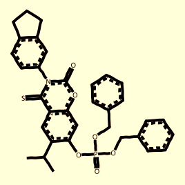 CC(C)c1cc2c(=S)n(-c3ccc4c(c3)CCC4)c(=O)oc2cc1OP(=O)(OCc1ccccc1)OCc1ccccc1